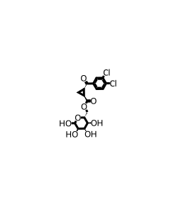 O=C(OC[C@H]1OC(O)[C@H](O)[C@@H](O)[C@@H]1O)[C@H]1C[C@@H]1C(=O)c1ccc(Cl)c(Cl)c1